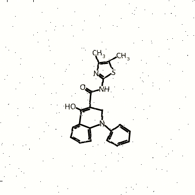 Cc1nc(NC(=O)C2=C(O)c3ccccc3N(c3ccccc3)C2)sc1C